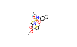 CCOC(=O)c1ccc(COc2cc3c(cc2N(CC(C)F)S(=O)(=O)c2nc(C)cs2)CCC3)s1